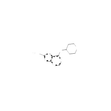 CSc1nc2ncnc(OC3CCOCC3)c2s1